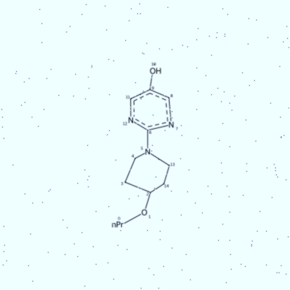 CCCOC1CCN(c2ncc(O)cn2)CC1